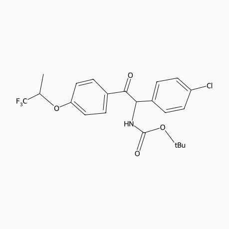 CC(Oc1ccc(C(=O)C(NC(=O)OC(C)(C)C)c2ccc(Cl)cc2)cc1)C(F)(F)F